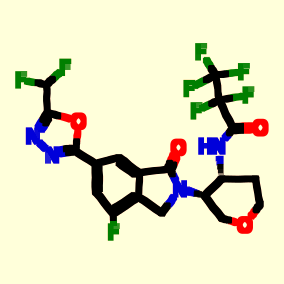 O=C1c2cc(-c3nnc(C(F)F)o3)cc(F)c2CN1[C@@H]1COCC[C@H]1NC(=O)C(F)(F)C(F)(F)F